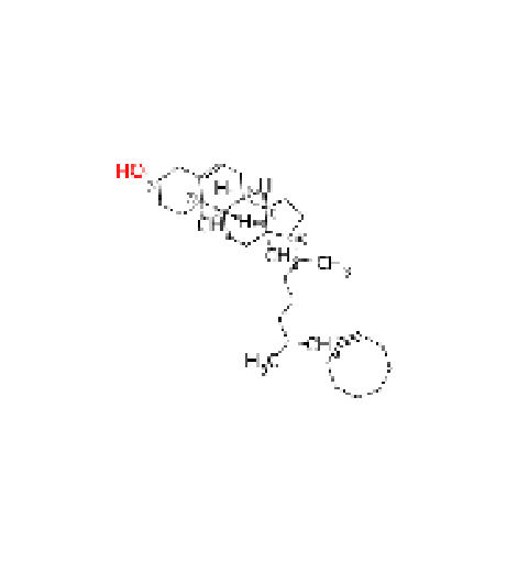 C1#CCCCCCC1.CC(C)CCCC(C)[C@H]1CC[C@H]2[C@@H]3CC=C4C[C@@H](O)CC[C@]4(C)[C@H]3CC[C@]12C